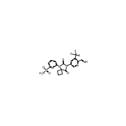 N=Cc1ncc(N2C(=O)C3(CCC3)N(c3cccc(S(N)(=O)=O)n3)C2=S)cc1C(F)(F)F